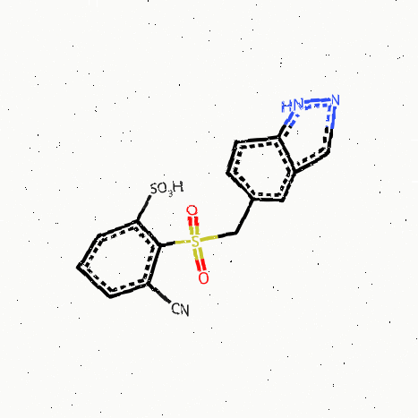 N#Cc1cccc(S(=O)(=O)O)c1S(=O)(=O)Cc1ccc2[nH]ncc2c1